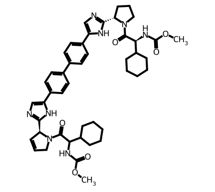 COC(=O)NC(C(=O)N1CC=C[C@H]1c1ncc(-c2ccc(-c3ccc(-c4cnc([C@@H]5CCCN5C(=O)[C@@H](NC(=O)OC)C5CCCCC5)[nH]4)cc3)cc2)[nH]1)C1CCCCC1